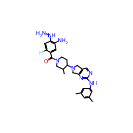 Cc1cc(C)cc(Nc2ncc3c(n2)CN(C2CCN(C(=O)c4cc(N)c(NN)cc4F)CC2C)C3)c1